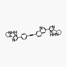 C(#Cc1ccc2cc(-c3cnc(C4CCCN4)[nH]3)cnc2c1)c1ccc(-c2cnc([C@@H]3CCCN3)[nH]2)cc1